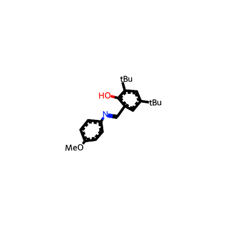 COc1ccc(N=Cc2cc(C(C)(C)C)cc(C(C)(C)C)c2O)cc1